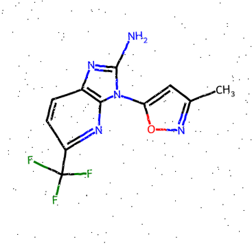 Cc1cc(-n2c(N)nc3ccc(C(F)(F)F)nc32)on1